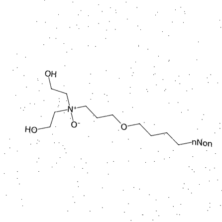 CCCCCCCCCCCCCOCCC[N+]([O-])(CCO)CCO